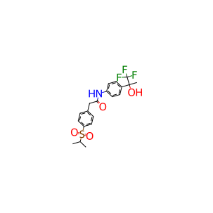 CC(C)S(=O)(=O)c1ccc(CC(=O)Nc2ccc(C(C)(O)C(F)(F)F)cc2)cc1